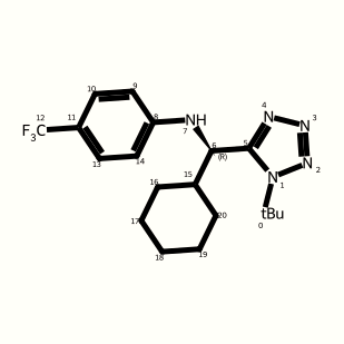 CC(C)(C)n1nnnc1[C@H](Nc1ccc(C(F)(F)F)cc1)C1CCCCC1